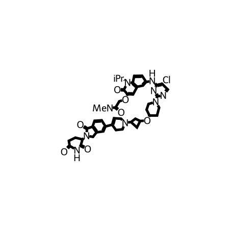 CNC(=O)COc1cc2cc(Nc3nc(N4CCC(OC5CC(N6CC=C(c7ccc8c(c7)CN(C7CCC(=O)NC7=O)C8=O)CC6)C5)CC4)ncc3Cl)ccc2n(C(C)C)c1=O